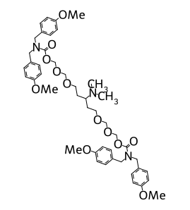 COc1ccc(CN(Cc2ccc(OC)cc2)C(=O)OCOCOCCC(CCOCOCOC(=O)N(Cc2ccc(OC)cc2)Cc2ccc(OC)cc2)N(C)C)cc1